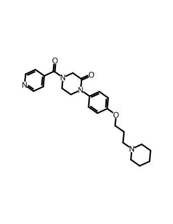 O=C(c1ccncc1)N1CCN(c2ccc(OCCCN3CCCCC3)cc2)C(=O)C1